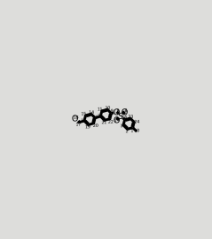 Cc1ccc(S(=O)(=O)Oc2ccc(-c3ccc(C=O)cc3)cc2)cc1